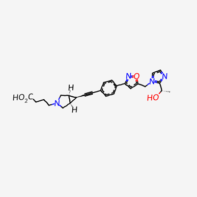 C[C@H](O)c1nccn1Cc1cc(-c2ccc(C#C[C@H]3[C@H]4CN(CCCC(=O)O)C[C@@H]34)cc2)no1